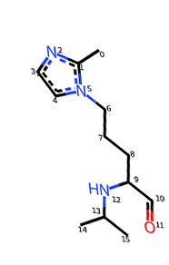 Cc1n[c]cn1CCCC(C=O)NC(C)C